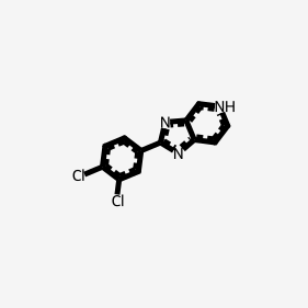 Clc1ccc(-c2nc3cc[nH]cc-3n2)cc1Cl